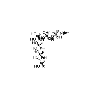 O[Si](O)(O)F.O[Si](O)(O)F.O[Si](O)(O)F.O[Si](O)(O)F.O[Si](O)(O)F.[Na+].[Na+].[O-][Si]([O-])(O)F